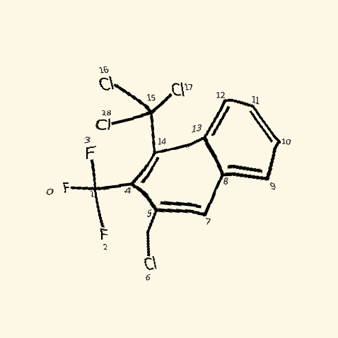 FC(F)(F)c1c(Cl)cc2ccccc2c1C(Cl)(Cl)Cl